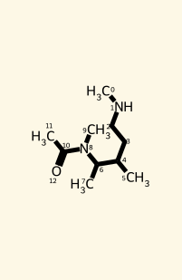 CNCCC(C)C(C)N(C)C(C)=O